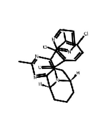 Cc1nc(-c2ncccn2)c2c(n1)[C@H]1CCC[C@@H](C2)N1C(=O)c1ccc(Cl)c(F)c1Cl